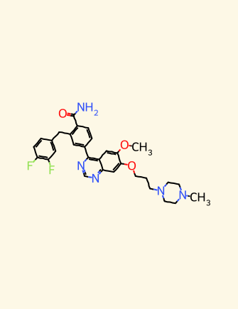 COc1cc2c(-c3ccc(C(N)=O)c(Cc4ccc(F)c(F)c4)c3)ncnc2cc1OCCCN1CCN(C)CC1